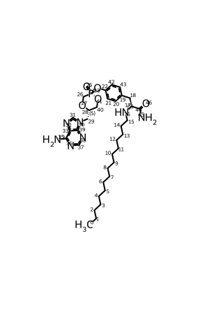 CCCCCCCCCCCCCCCCN[C@@H](Cc1ccc(OP2(=O)CO[C@@H](Cn3cnc4c(N)ncnc43)CO2)cc1)C(N)=O